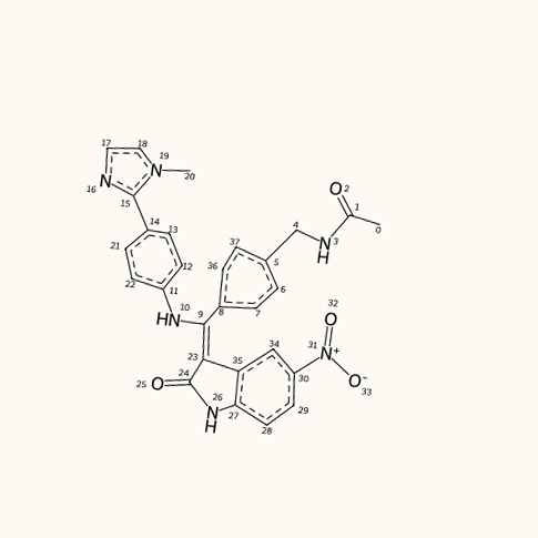 CC(=O)NCc1ccc(/C(Nc2ccc(-c3nccn3C)cc2)=C2/C(=O)Nc3ccc([N+](=O)[O-])cc32)cc1